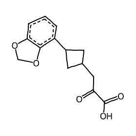 O=C(O)C(=O)CC1CC(c2cccc3c2OCO3)C1